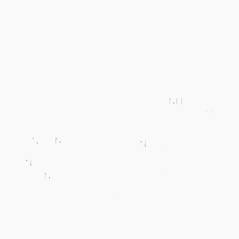 Cn1nnnc1-c1cccc(N2C(=O)CC(=O)Nc3c2ccc2c3CCCC2)c1